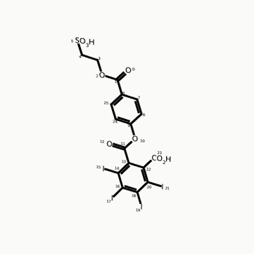 O=C(OCCS(=O)(=O)O)c1ccc(OC(=O)c2c(I)c(I)c(I)c(I)c2C(=O)O)cc1